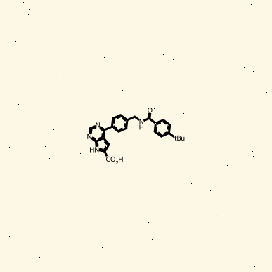 CC(C)(C)c1ccc(C(=O)NCc2ccc(-c3ncnc4[nH]c(C(=O)O)cc34)cc2)cc1